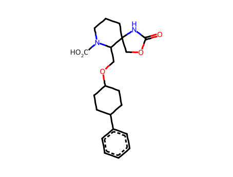 O=C1NC2(CCCN(C(=O)O)C2COC2CCC(c3ccccc3)CC2)CO1